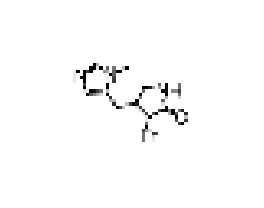 CCC1C(=O)NCC1Cc1cncn1C